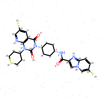 O=C(N[C@H]1CC[C@@H](n2c(=O)c3cc(F)cnc3n(C3CCSCC3)c2=O)CC1)c1cn2cc(F)ccc2n1